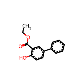 CCOC(=O)c1cc(-c2ccccc2)ccc1O